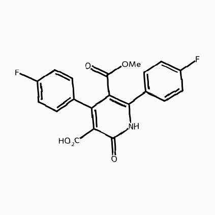 COC(=O)c1c(-c2ccc(F)cc2)[nH]c(=O)c(C(=O)O)c1-c1ccc(F)cc1